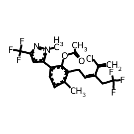 C=C(Cl)C(=CCc1c(C)ccc(-c2cc(C(F)(F)F)nn2C)c1OC(C)=O)CC(F)(F)F